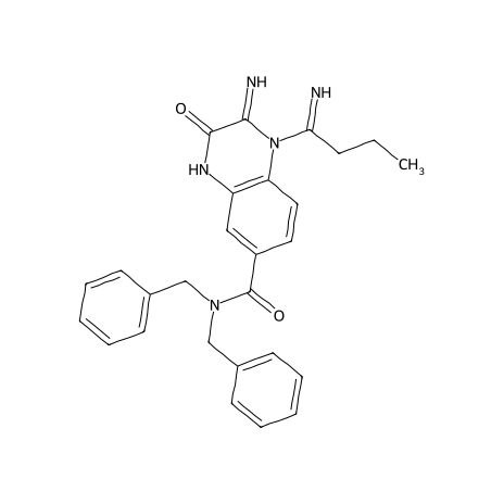 CCCC(=N)n1c(=N)c(=O)[nH]c2cc(C(=O)N(Cc3ccccc3)Cc3ccccc3)ccc21